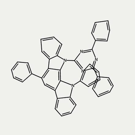 c1ccc(-c2nc(-c3ccccc3)nc(-n3c4ccccc4c4c(-c5ccccc5)cc5c6ccccc6n(-c6ccccc6)c5c43)n2)cc1